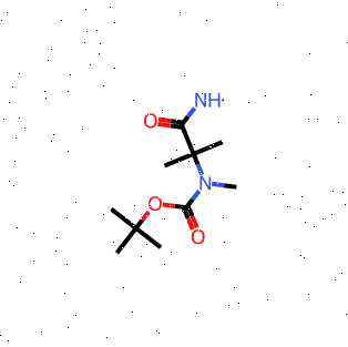 CN(C(=O)OC(C)(C)C)C(C)(C)C([NH])=O